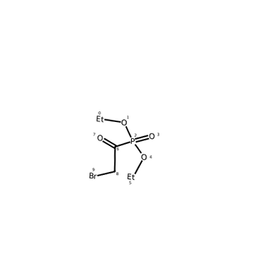 CCOP(=O)(OCC)C(=O)CBr